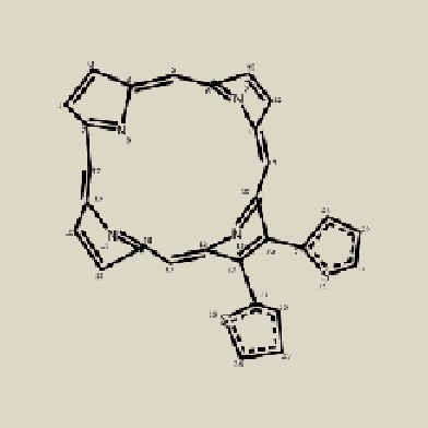 C1=CC2=NC1=CC1=NC(=CC3=NC(=CC4=NC(=C2)C=C4)C(c2cccs2)=C3c2cccs2)C=C1